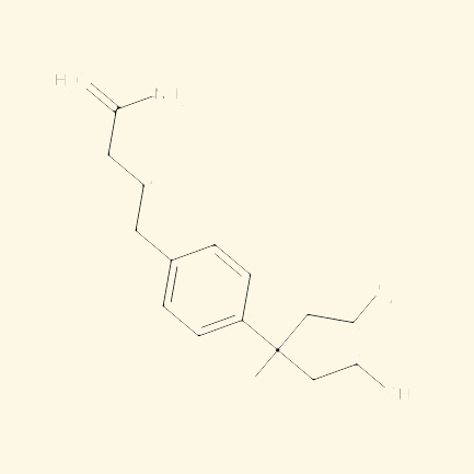 C=C(N)CCCc1ccc(C(C)(CCC)CCC)cc1